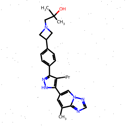 Cc1cc(-c2[nH]nc(-c3ccc(C4CN(CC(C)(C)O)C4)cc3)c2C(C)C)cn2ncnc12